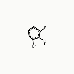 COc1c(Br)[c]ccc1F